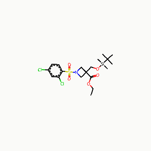 CCOC(=O)C1(CO[Si](C)(C)C(C)(C)C)CN(S(=O)(=O)c2ccc(Cl)cc2Cl)C1